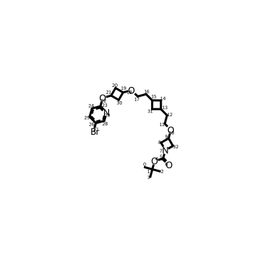 CC(C)(C)OC(=O)N1CC(OCCC2CC(CCOC3CC(Oc4ccc(Br)cn4)C3)C2)C1